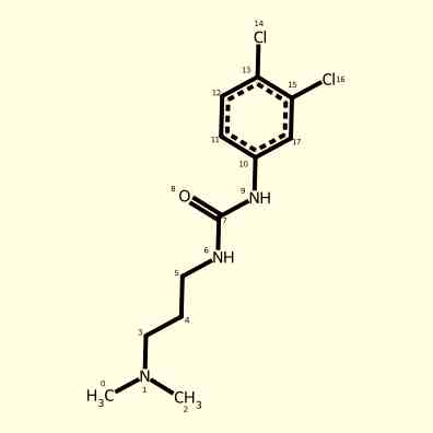 CN(C)CCCNC(=O)Nc1ccc(Cl)c(Cl)c1